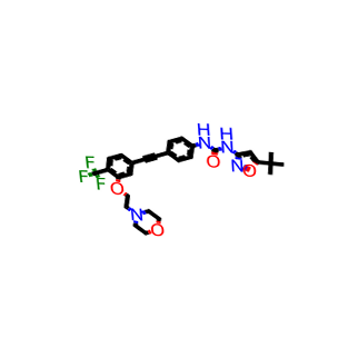 CC(C)(C)c1cc(NC(=O)Nc2ccc(C#Cc3ccc(C(F)(F)F)c(OCCN4CCOCC4)c3)cc2)no1